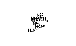 Cc1nc(CN2C(=O)c3c(nc(N4CCC[C@@H](N)C4)n3Cc3cccc(F)c3)N3CCN=C23)nc2ccccc12